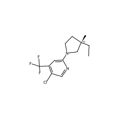 CC[C@@]1(C)CCN(c2cc(C(F)(F)F)c(Cl)cn2)C1